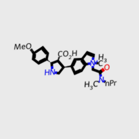 CCCN(C)C(=O)C[N+]1(C)C=Cc2cc([C@H]3CN[C@H](c4ccc(OC)cc4)[C@H]3C(=O)O)ccc21